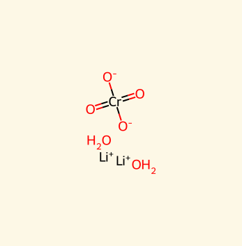 O.O.[Li+].[Li+].[O]=[Cr](=[O])([O-])[O-]